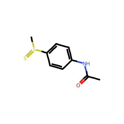 CC(=O)Nc1ccc(S(C)=S)cc1